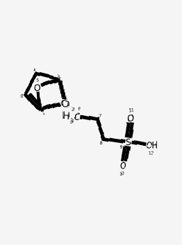 C1=C2OC(C1)O2.CCCS(=O)(=O)O